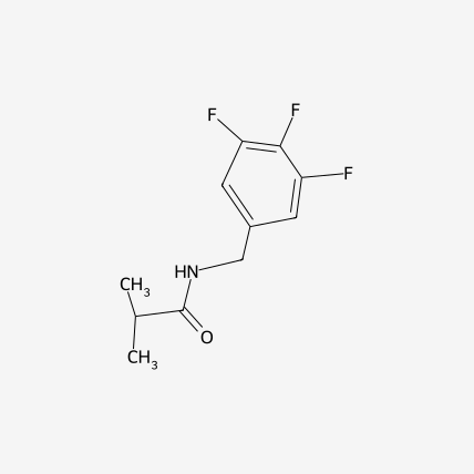 CC(C)C(=O)NCc1cc(F)c(F)c(F)c1